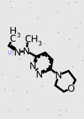 C/C=N\N(C)c1ccc(N2CCOCC2)nn1